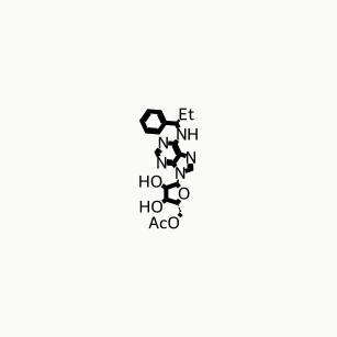 CC[C@@H](Nc1ncnc2c1ncn2[C@@H]1O[C@H](COC(C)=O)C(O)C1O)c1ccccc1